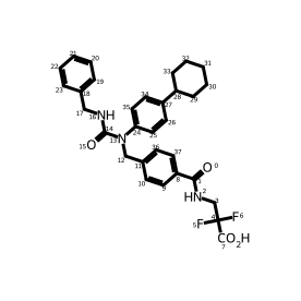 O=C(NCC(F)(F)C(=O)O)c1ccc(CN(C(=O)NCc2ccccc2)c2ccc(C3CCCCC3)cc2)cc1